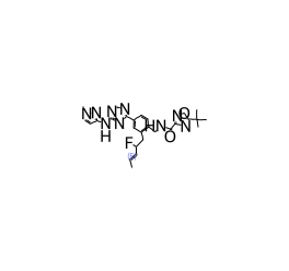 C/C=C/C(F)Cc1cc(-c2ncnc(Nc3ccn(C)n3)n2)ccc1CNC(=O)c1noc(C(C)(C)C)n1